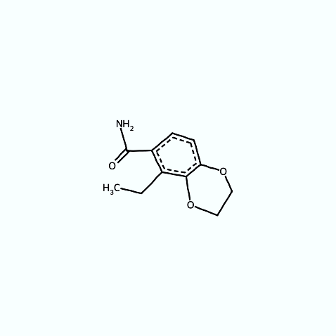 CCc1c(C(N)=O)ccc2c1OCCO2